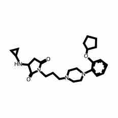 O=C1CC(NC2CC2)C(=O)N1CCCN1CCN(c2ccccc2OC2CCCC2)CC1